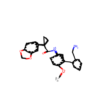 NCc1ccccc1-c1cc(NC(=O)C2(c3ccc4c(c3)OCO4)CC2)ccc1OC(F)(F)F